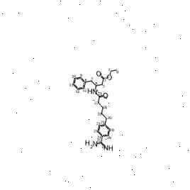 CCOC(=O)CC(Cc1ccccc1)NC(=O)CCCCc1ccc(C(=N)N)cc1